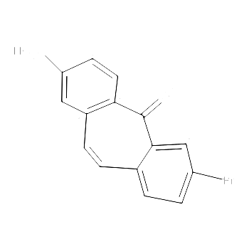 O=C(O)c1ccc2c(=O)c3cc(Br)ccc3ccc2c1